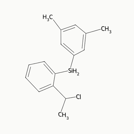 Cc1cc(C)cc([SiH2]c2ccccc2C(C)Cl)c1